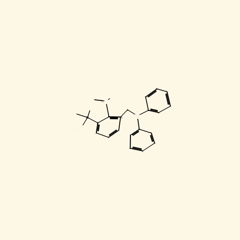 CC(C)(C)c1cccc(CN(c2ccccc2)c2ccccc2)c1P(Cl)Cl